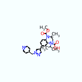 COC(=O)N1c2ccc(-c3cnn(Cc4ccncc4)c3)cc2[N+](C(=O)O)(C(C)C)C[C@@H]1C